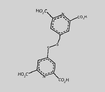 O=C(O)c1cc(SSc2cc(C(=O)O)nc(C(=O)O)c2)cc(C(=O)O)n1